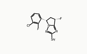 Fc1c(Cl)cccc1[C@@H]1C[C@H](F)c2nc(S)nn21